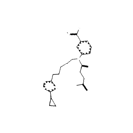 C=C(F)CCC(=O)N(CCCCCc1nc(C2CC2)no1)c1cccc(/C(N)=N/O)c1